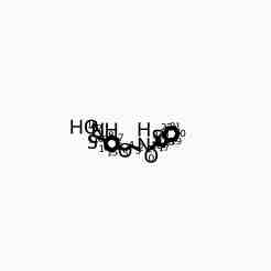 O=C(NCCOc1ccc(C(=S)NO)cc1)c1cc2ccccc2s1